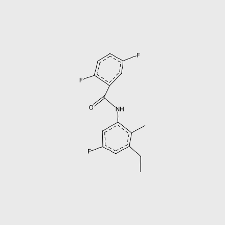 CCc1cc(F)cc(NC(=O)c2cc(F)ccc2F)c1C